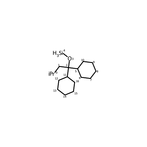 CC(C)CC(O[SiH3])(C1CCCCC1)C1CCCCC1